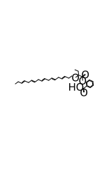 CCC=CCC=CCC=CCC=CCC=CCCOC(CC)C(=O)Oc1ccccc1C(=O)O